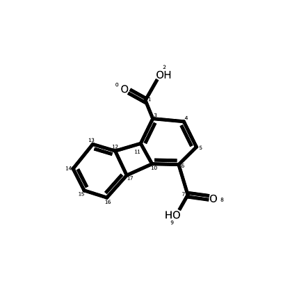 O=C(O)c1ccc(C(=O)O)c2c1-c1ccccc1-2